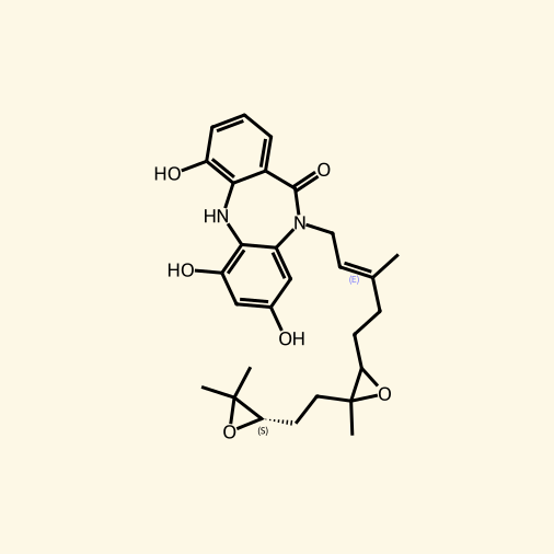 C/C(=C\CN1C(=O)c2cccc(O)c2Nc2c(O)cc(O)cc21)CCC1OC1(C)CC[C@@H]1OC1(C)C